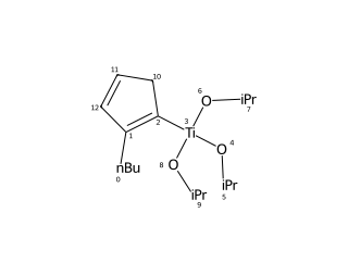 CCCCC1=[C]([Ti]([O]C(C)C)([O]C(C)C)[O]C(C)C)CC=C1